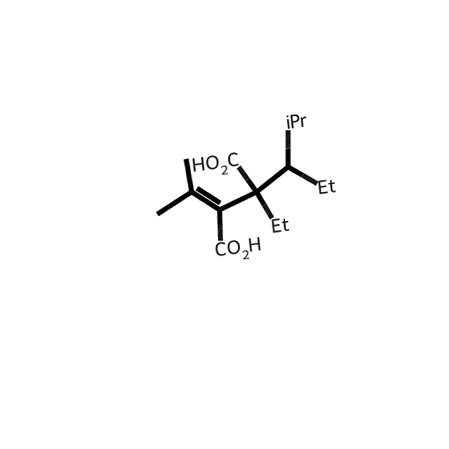 CCC(C(C)C)C(CC)(C(=O)O)C(C(=O)O)=C(C)C